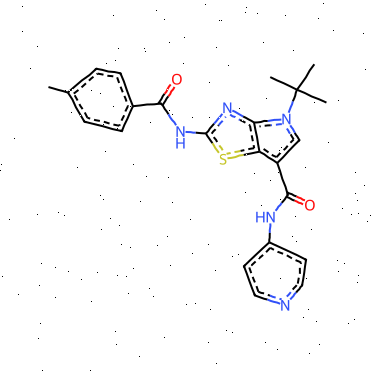 Cc1ccc(C(=O)Nc2nc3c(s2)c(C(=O)Nc2ccncc2)cn3C(C)(C)C)cc1